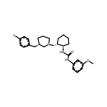 COc1cccc(NC(=O)N[C@@H]2CCCC[C@H]2CN2CCC[C@H](Cc3ccc(F)cc3)C2)c1